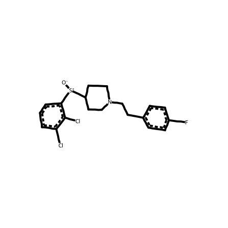 [O-][S+](c1cccc(Cl)c1Cl)C1CCN(CCc2ccc(F)cc2)CC1